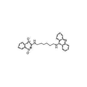 [O-][n+]1nc(NCCCCCCNc2c3ccccc3nc3ccccc23)[n+]([O-])c2ccccc21